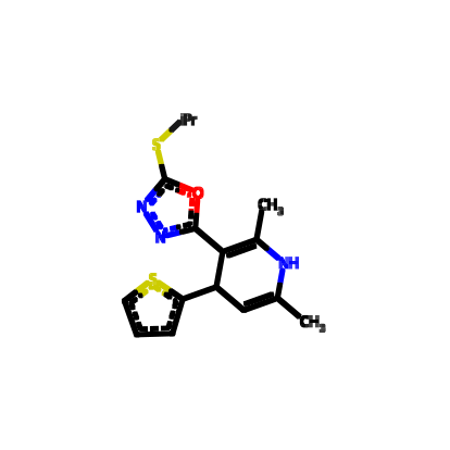 CC1=CC(c2cccs2)C(c2nnc(SC(C)C)o2)=C(C)N1